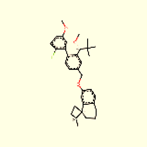 COc1ccc(F)c(-c2ccc(COc3ccc4c(c3)[C@@]3(CCC4)CC[C@@H]3C)cc2[C@H](OC)C(C)(C)C)c1